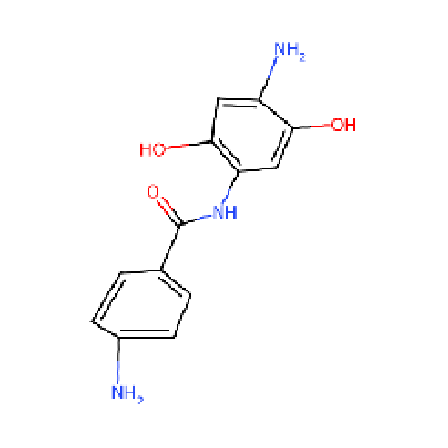 Nc1ccc(C(=O)Nc2cc(O)c(N)cc2O)cc1